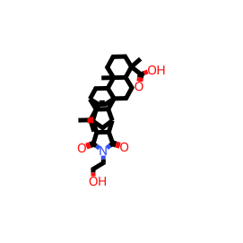 CC(C)C1=CC23CCC4C(C)(C(=O)O)CCCC4(C)C2CC1C1C2CC(C4C(=O)N(CCO)C(=O)C24)C13